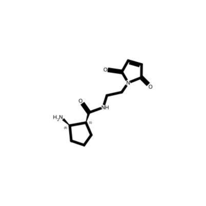 N[C@@H]1CCC[C@@H]1C(=O)NCCN1C(=O)C=CC1=O